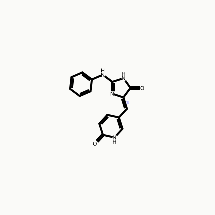 O=C1NC(Nc2ccccc2)=N/C1=C\c1ccc(=O)[nH]c1